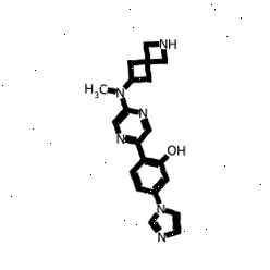 CN(c1cnc(-c2ccc(-n3ccnc3)cc2O)cn1)C1CC2(CNC2)C1